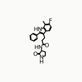 Cc1c(F)ccc2c(CCC(=O)NC3CCNC3=O)c(-c3ccccc3)[nH]c12